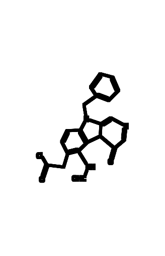 O=CNc1c(CC(=O)Cl)ccc2c1C1C(=O)C=NC=C1N2Cc1ccccc1